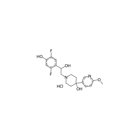 COc1ccc(C2(O)CCN(CC(O)c3cc(F)c(O)cc3F)CC2)cn1.Cl